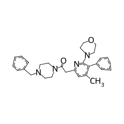 Cc1cc(CC(=O)N2CCN(Cc3ccccc3)CC2)nc(N2CCOCC2)c1-c1ccccc1